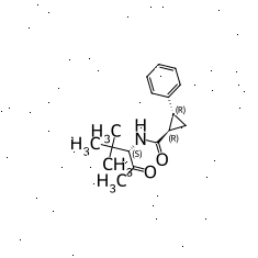 CC(=O)[C@@H](NC(=O)[C@@H]1C[C@H]1c1ccccc1)C(C)(C)C